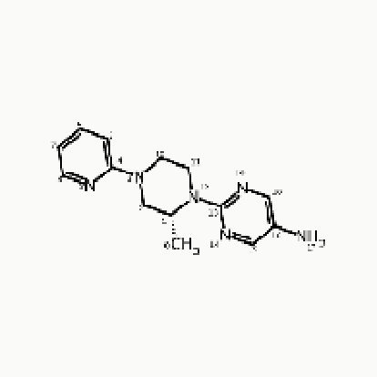 C[C@@H]1CN(c2ccccn2)CCN1c1ncc(N)cn1